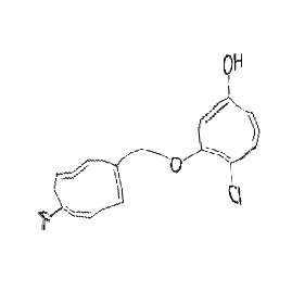 Oc1ccc(Cl)c(OCc2ccc(F)cc2)c1